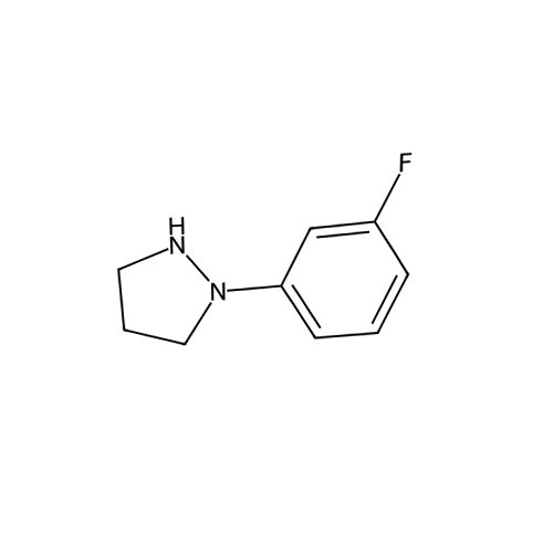 Fc1cccc(N2CCCN2)c1